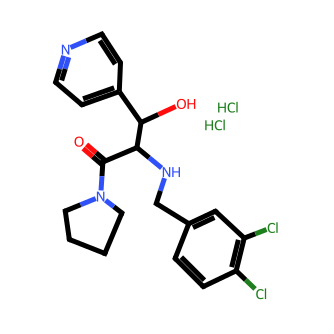 Cl.Cl.O=C(C(NCc1ccc(Cl)c(Cl)c1)C(O)c1ccncc1)N1CCCC1